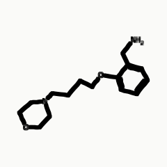 NCc1ccccc1OCCCCN1CCOCC1